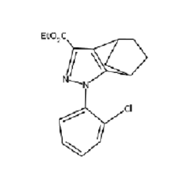 CCOC(=O)c1nn(-c2ccccc2Cl)c2c1C1CCC2C1